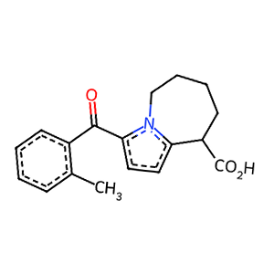 Cc1ccccc1C(=O)c1ccc2n1CCCCC2C(=O)O